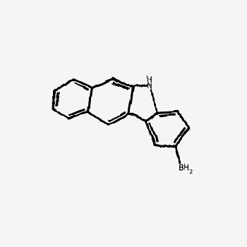 Bc1ccc2[nH]c3cc4ccccc4cc3c2c1